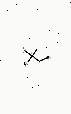 [CH2]C(N)(CC)CC(C)C